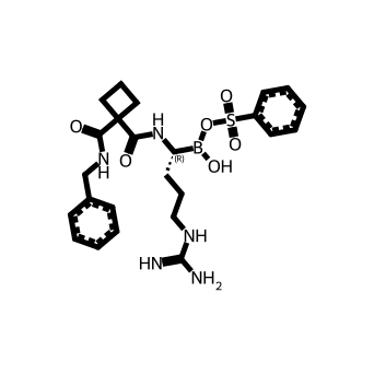 N=C(N)NCCC[C@H](NC(=O)C1(C(=O)NCc2ccccc2)CCC1)B(O)OS(=O)(=O)c1ccccc1